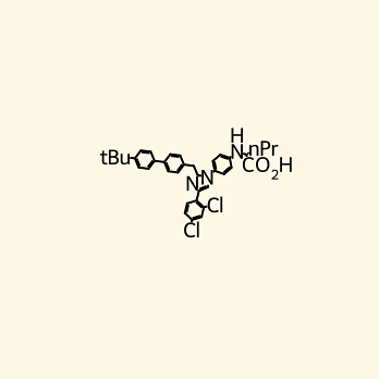 CCC[C@H](Nc1ccc(-n2cc(-c3ccc(Cl)cc3Cl)nc2Cc2ccc(-c3ccc(C(C)(C)C)cc3)cc2)cc1)C(=O)O